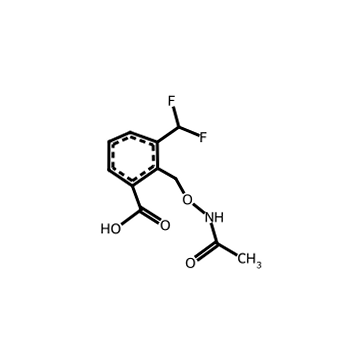 CC(=O)NOCc1c(C(=O)O)cccc1C(F)F